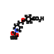 CC(C)(C)OC(=O)N1CCC(CCOc2ccc(C(=O)O)cc2)CC1